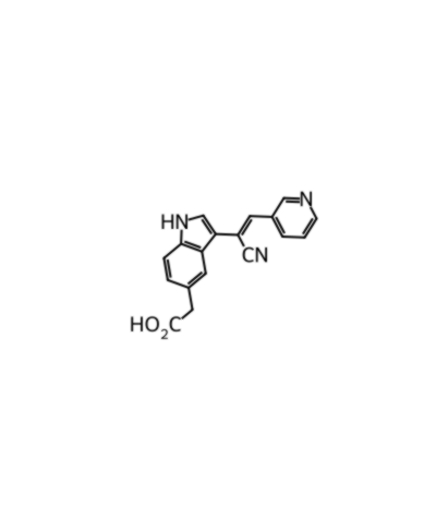 N#C/C(=C\c1cccnc1)c1c[nH]c2ccc(CC(=O)O)cc12